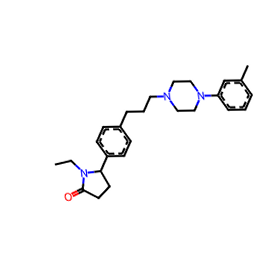 CCN1C(=O)CCC1c1ccc(CCCN2CCN(c3cccc(C)c3)CC2)cc1